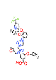 CCOc1cc(C(=O)O)cc2c1nc(CN1CCN(c3cccc4c3OC(C)(c3ccc(C(F)(F)F)cn3)O4)C=N1)n2C[C@@H]1CCO1